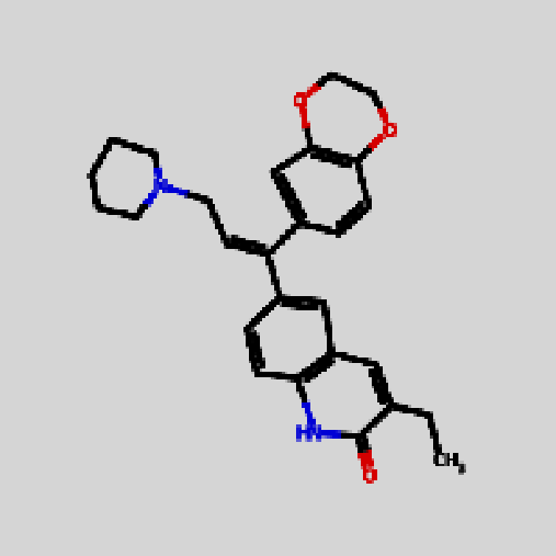 CCc1cc2cc(/C(=C/CN3CCCCC3)c3ccc4c(c3)OCCO4)ccc2[nH]c1=O